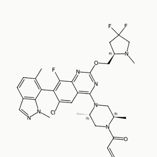 C=CC(=O)N1C[C@H](C)N(c2nc(OC[C@H]3CC(F)(F)CN3C)nc3c(F)c(-c4c(C)ccc5cnn(C)c45)c(Cl)cc23)C[C@H]1C